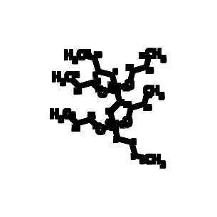 CCCC[Si](CC[Si](CCCC)(OCCC)OCCC)(OCCC)OCCC